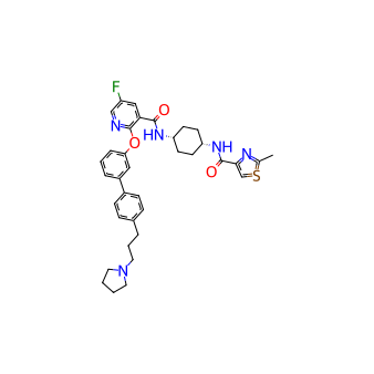 Cc1nc(C(=O)N[C@H]2CC[C@@H](NC(=O)c3cc(F)cnc3Oc3cccc(-c4ccc(CCCN5CCCC5)cc4)c3)CC2)cs1